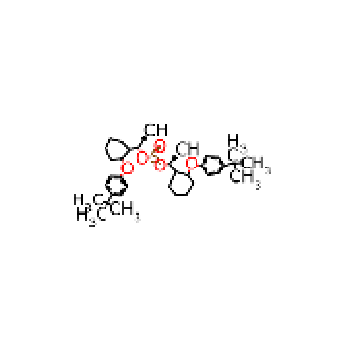 C#CC(OS(=O)OC(C#C)C1CCCCC1Oc1ccc(C(C)(C)C)cc1)C1CCCCC1Oc1ccc(C(C)(C)C)cc1